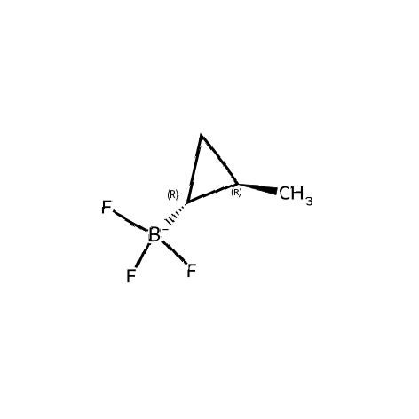 C[C@@H]1C[C@H]1[B-](F)(F)F